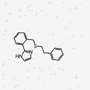 c1ccc(CCSCc2ccccc2-c2ncc[nH]2)cc1